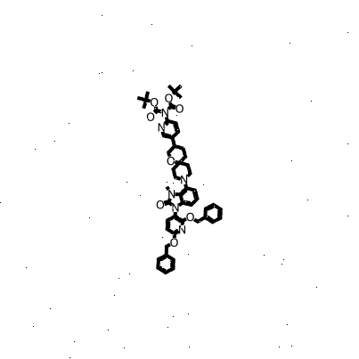 Cn1c(=O)n(-c2ccc(OCc3ccccc3)nc2OCc2ccccc2)c2cccc(N3CCC4(CCC(c5ccc(N(C(=O)OC(C)(C)C)C(=O)OC(C)(C)C)nc5)CO4)CC3)c21